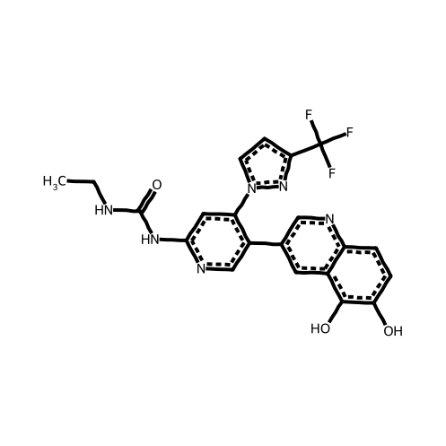 CCNC(=O)Nc1cc(-n2ccc(C(F)(F)F)n2)c(-c2cnc3ccc(O)c(O)c3c2)cn1